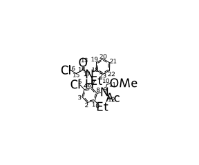 CCc1ccc(Cl)c(CC)c1N(COC)C(C)=O.O=C(CCl)Nc1ccccc1